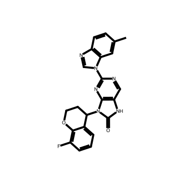 Cc1ccc2ncn(-c3ncc4[nH]c(=O)n(C5CCOc6c(F)cccc65)c4n3)c2c1